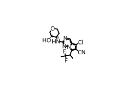 CC(c1c(C#N)c(Cl)c2cnc(N[C@@H]3CCOC[C@H]3O)nn12)C(C)(F)F